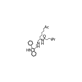 CC(=O)CCCCCC(CNCCc1c(-c2ccccc2)[nH]c2ccccc12)NC(=O)CCC(C)C